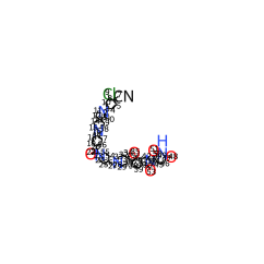 C[C@@H]1N(c2ccc(C#N)c(Cl)c2)CCC12CCN(c1ccc(C(=O)N3CCC(CN4CCC5(CC4)COc4c5ccc5c4CN([C@H]4CCC(=O)NC4=O)C5=O)CC3)cc1)CC2